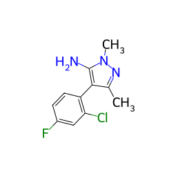 Cc1nn(C)c(N)c1-c1ccc(F)cc1Cl